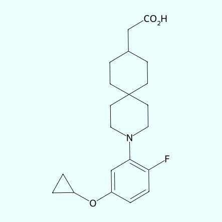 O=C(O)CC1CCC2(CC1)CCN(c1cc(OC3CC3)ccc1F)CC2